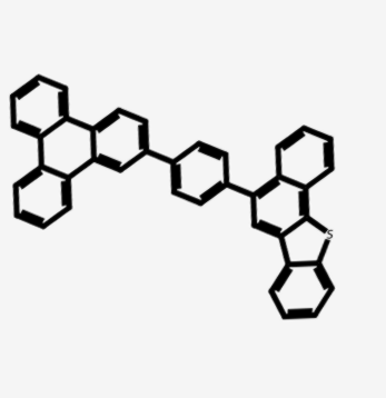 c1ccc2c(c1)sc1c3ccccc3c(-c3ccc(-c4ccc5c6ccccc6c6ccccc6c5c4)cc3)cc21